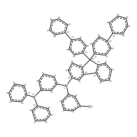 Clc1cccc(N(c2cccc(N(c3ccccc3)c3ccccc3)c2)c2ccc3c(c2)-c2ccccc2C3(c2ccc(-c3ccccc3)cc2)c2ccc(-c3ccccc3)cc2)c1